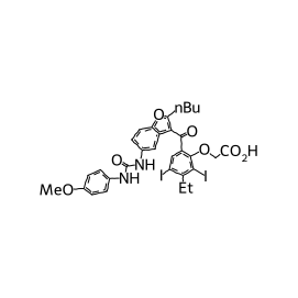 CCCCc1oc2ccc(NC(=O)Nc3ccc(OC)cc3)cc2c1C(=O)c1cc(I)c(CC)c(I)c1OCC(=O)O